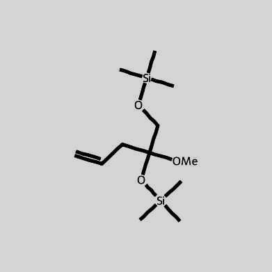 C=CCC(CO[Si](C)(C)C)(OC)O[Si](C)(C)C